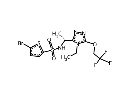 CCn1c(OCC(F)(F)F)nnc1[C@@H](C)NS(=O)(=O)c1ccc(Br)s1